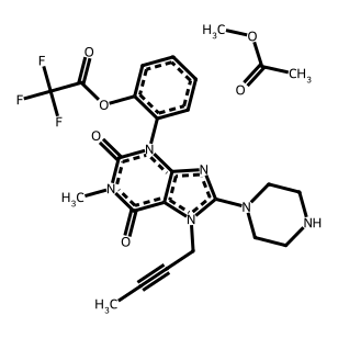 CC#CCn1c(N2CCNCC2)nc2c1c(=O)n(C)c(=O)n2-c1ccccc1OC(=O)C(F)(F)F.COC(C)=O